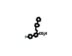 O=C(O)c1ccc(-c2ccc(F)cc2)cc1C=Cc1ccc(-c2ccccc2)cc1